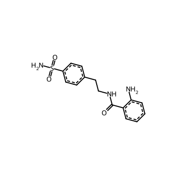 Nc1ccccc1C(=O)NCCc1ccc(S(N)(=O)=O)cc1